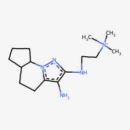 C[N+](C)(C)CCNc1nn2c(c1N)CCC1CCCC12